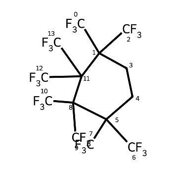 FC(F)(F)C1(C(F)(F)F)CCC(C(F)(F)F)(C(F)(F)F)C(C(F)(F)F)(C(F)(F)F)C1(C(F)(F)F)C(F)(F)F